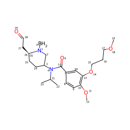 BN1CC(N(C(=O)c2ccc(OC)c(OCCCOC)c2)C(C)C)CC[C@H]1CC=O